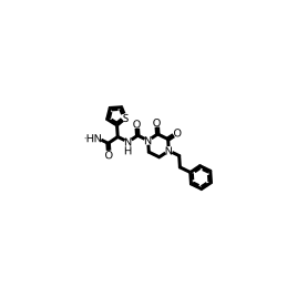 [NH]C(=O)C(NC(=O)N1CCN(CCc2ccccc2)C(=O)C1=O)c1cccs1